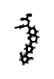 CC#CC(CC(=O)O)c1ccc2c(c1)OC(c1ccc(-c3c(C)cccc3C)cc1)CC2